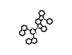 c1ccc(-n2c3ccccc3c3ccc4c(c5ccccc5n4-c4nc(-c5cccc6ccccc56)cc(-c5cccc6ccccc56)n4)c32)cc1